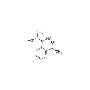 CC(O)c1ccccc1N(N=O)C(C)O